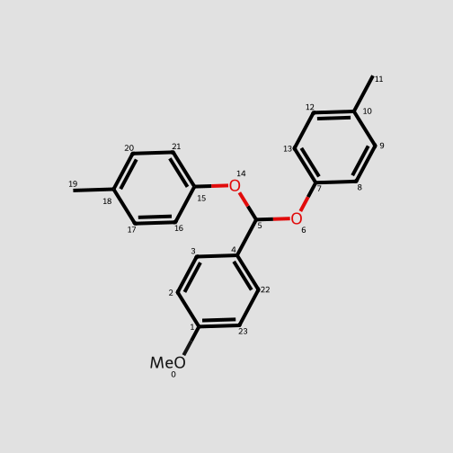 COc1ccc(C(Oc2ccc(C)cc2)Oc2ccc(C)cc2)cc1